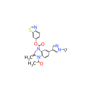 CC(=O)N1c2ccc(-c3cnn(C4CC4)c3)cc2N(C(=O)Oc2ccc3ncsc3c2)C[C@@H]1C